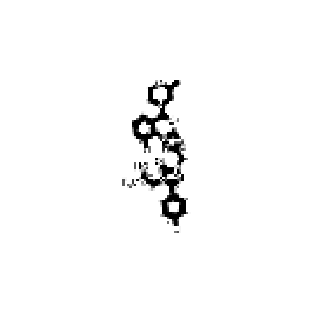 CC1CN(C(=O)c2cccc(Cl)c2-n2cnc(Cn3nc(-c4ccc(Cl)cc4)n(C[C@H](O)C(F)(F)F)c3=O)n2)CCO1